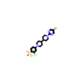 CS(=O)(=O)c1ccc(N2CCC(C3CCN(c4ncc(Br)cn4)CC3)CC2)cc1Cl